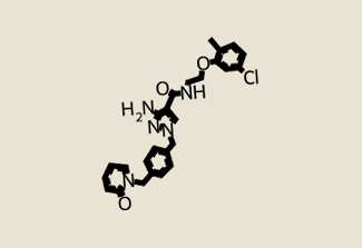 Cc1ccc(Cl)cc1OCCNC(=O)c1cn(Cc2ccc(Cn3ccccc3=O)cc2)nc1N